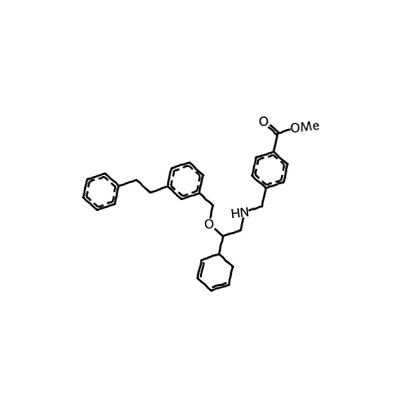 COC(=O)c1ccc(CNCC(OCc2cccc(CCc3ccccc3)c2)C2C=CC=CC2)cc1